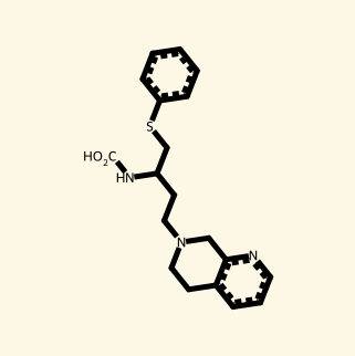 O=C(O)NC(CCN1CCc2cccnc2C1)CSc1ccccc1